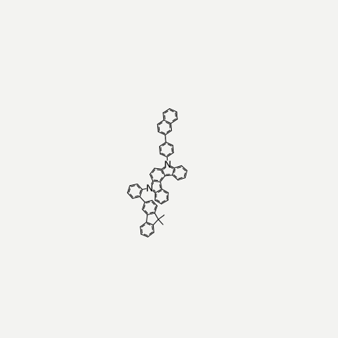 CC1(C)c2ccccc2-c2cc(-c3ccccc3-n3c4ccccc4c4c5c6ccccc6n(-c6ccc(-c7ccc8ccccc8c7)cc6)c5ccc43)ccc21